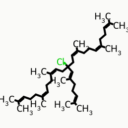 CC(C)=CCCC(C)=CCCC(C)=CCC(Cl)(/C=C(\C)CCC=C(C)C)CC=C(C)CCC=C(C)CCC=C(C)C